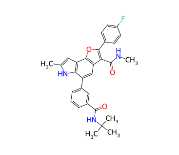 CNC(=O)c1c(-c2ccc(F)cc2)oc2c1cc(-c1cccc(C(=O)NC(C)(C)C)c1)c1[nH]c(C)cc12